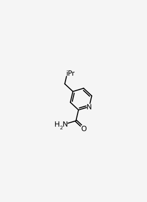 CC(C)Cc1ccnc(C(N)=O)c1